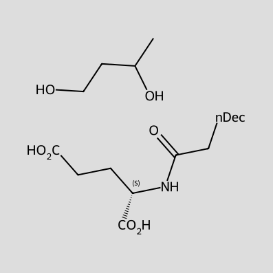 CC(O)CCO.CCCCCCCCCCCC(=O)N[C@@H](CCC(=O)O)C(=O)O